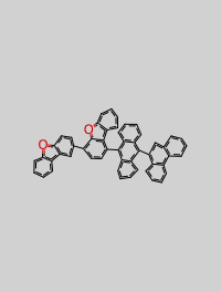 c1ccc2c(c1)cc(-c1c3ccccc3c(-c3ccc(-c4ccc5oc6ccccc6c5c4)c4oc5ccccc5c34)c3ccccc13)c1ccccc12